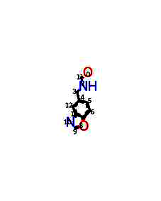 O=[C]NCc1ccc2ocnc2c1